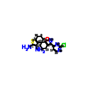 Nc1sc2c(c1N)[C@@]1(CCC2)CCCc2c(-c3ccnc(Cl)n3)noc21